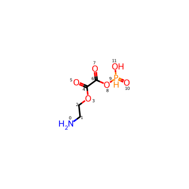 NCCOC(=O)C(=O)O[PH](=O)O